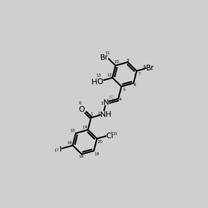 O=C(N/N=C/c1cc(Br)cc(Br)c1O)c1cc(I)ccc1Cl